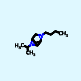 CCCCN1CC2CC1CN2C(C)C